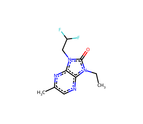 CCn1c(=O)n(CC(F)F)c2nc(C)cnc21